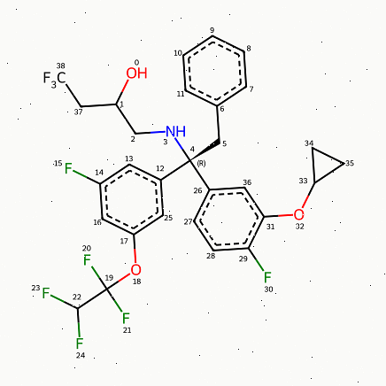 OC(CN[C@@](Cc1ccccc1)(c1cc(F)cc(OC(F)(F)C(F)F)c1)c1ccc(F)c(OC2CC2)c1)CC(F)(F)F